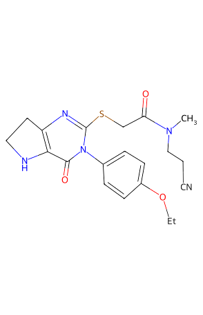 CCOc1ccc(-n2c(SCC(=O)N(C)CCC#N)nc3c(c2=O)NCC3)cc1